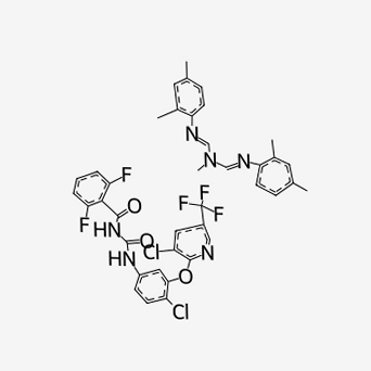 Cc1ccc(/N=C/N(C)/C=N/c2ccc(C)cc2C)c(C)c1.O=C(NC(=O)c1c(F)cccc1F)Nc1ccc(Cl)c(Oc2ncc(C(F)(F)F)cc2Cl)c1